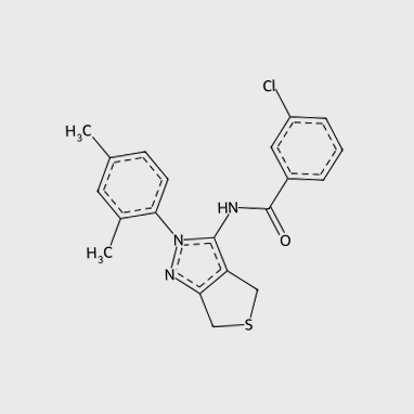 Cc1ccc(-n2nc3c(c2NC(=O)c2cccc(Cl)c2)CSC3)c(C)c1